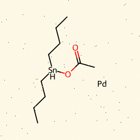 CCC[CH2][SnH]([CH2]CCC)[O]C(C)=O.[Pd]